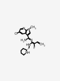 C=C/C(F)=C(\N=C(/N)c1cn(C)c2ncc(Cl)cc12)NC[C@H]1CCCCN1